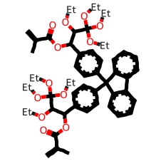 C=C(C)C(=O)OC(c1ccc(C2(c3ccc(C(OC(=O)C(=C)C)C(OCC)C(OCC)(OCC)OCC)cc3)c3ccccc3-c3ccccc32)cc1)C(OCC)C(OCC)(OCC)OCC